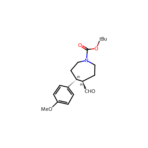 COc1ccc([C@@H]2CCN(C(=O)OC(C)(C)C)CC[C@H]2C=O)cc1